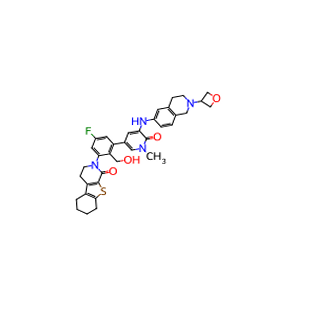 Cn1cc(-c2cc(F)cc(N3CCc4c(sc5c4CCCC5)C3=O)c2CO)cc(Nc2ccc3c(c2)CCN(C2COC2)C3)c1=O